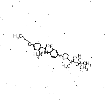 CCCCOc1ccc(C(=O)Nc2ccc(N3CCC(N(C)C(=O)OC(C)(C)C)C3)cc2F)c(N)c1